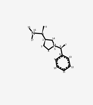 C[C@@H]([C@@H]1CCN([C@@H](C)c2ccccc2)C1)N(C)C